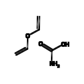 C=COC=C.NC(=O)O